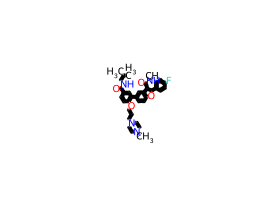 CNC(=O)C1c2cc(-c3cc(C(=O)NCC(C)C)ccc3OCCCN3CCN(C)CC3)ccc2OC1c1ccc(F)cc1